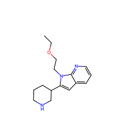 CCOCCn1c(C2CCCNC2)cc2cccnc21